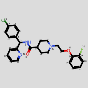 O=C(NC(c1ccc(Cl)cc1)c1ccccn1)C1CCN(CCOc2ccccc2F)CC1